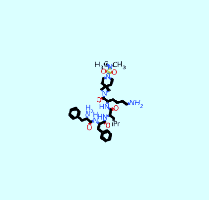 CC(C)CC(NC(=O)C(Cc1ccccc1)NC(=O)C(N)Cc1ccccc1)C(=O)NC(CCCCN)C(=O)N1CC2(CCN(S(=O)(=O)N(C)C)CC2)C1